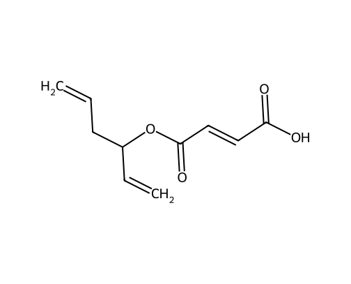 C=CCC(C=C)OC(=O)C=CC(=O)O